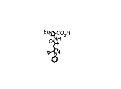 CCn1cc(NC(=O)C(F)Cc2cnn(-c3ccccc3)c2C2CC2)c(C(=O)O)c1